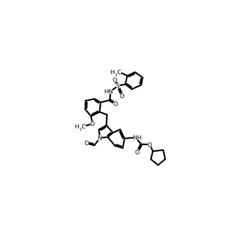 COc1cccc(C(=O)NS(=O)(=O)c2ccccc2C)c1Cc1cn(C=O)c2ccc(NC(=O)OC3CCCC3)cc12